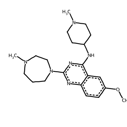 COc1ccc2nc(N3CCCN(C)CC3)nc(NC3CCN(C)CC3)c2c1